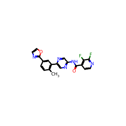 Cc1ccc(-c2ncco2)cc1-c1cnc(NC(=O)c2ccnc(F)c2F)cn1